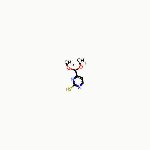 COC(OC)c1ccnc(S)n1